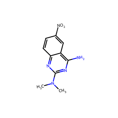 CN(C)c1nc(N)c2cc([N+](=O)[O-])ccc2n1